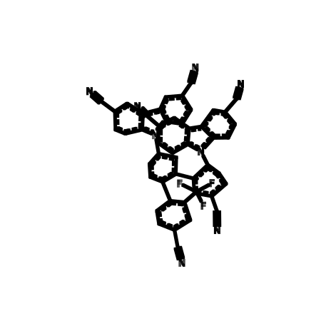 N#Cc1ccc(-n2c3ccc(C#N)cc3c3cc(C#N)ccc32)c(-c2cc(-n3c4ccc(C#N)cc4c4cc(C#N)ccc43)ccc2-c2ccc(C#N)cc2C(F)(F)F)c1